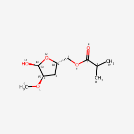 CO[C@@H]1C[C@@H](COC(=O)C(C)C)O[C@@H]1O